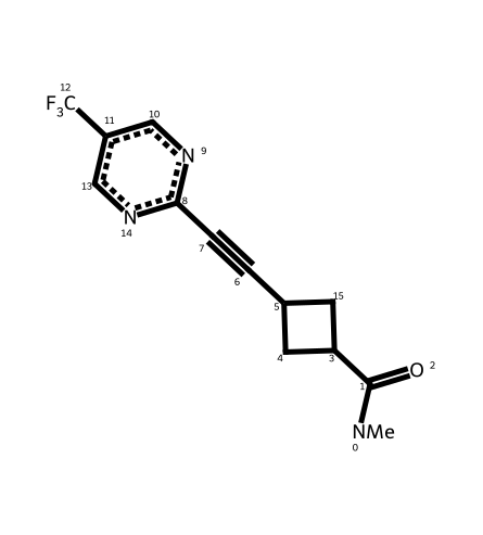 CNC(=O)C1CC(C#Cc2ncc(C(F)(F)F)cn2)C1